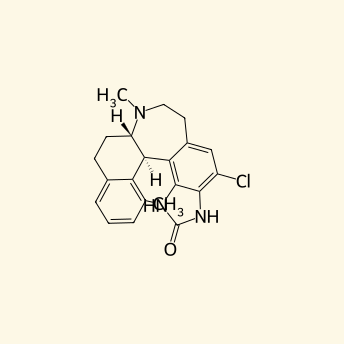 Cc1cccc2c1[C@@H]1c3c(cc(Cl)c4[nH]c(=O)[nH]c34)CCN(C)[C@H]1CC2